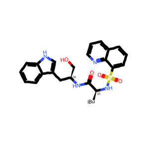 CCC(C)[C@H](NS(=O)(=O)c1cccc2cccnc12)C(=O)N[C@H](CO)Cc1c[nH]c2ccccc12